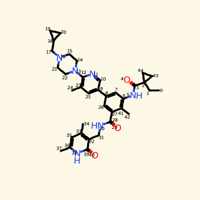 CCC1(C(=O)Nc2cc(-c3cnc(N4CCN(CC5CC5)CC4)c(C)c3)cc(C(=O)NCc3c(C)cc(C)[nH]c3=O)c2C)CC1